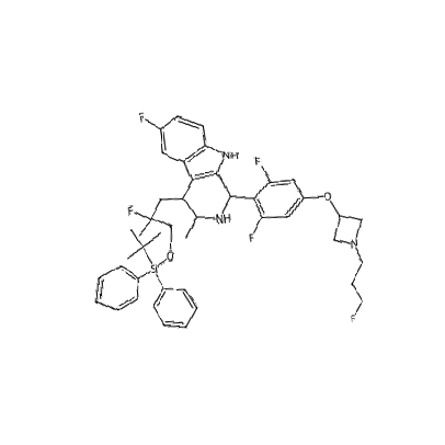 CC1NC(c2c(F)cc(OC3CN(CCCF)C3)cc2F)c2[nH]c3ccc(F)cc3c2C1CC(C)(F)CO[Si](c1ccccc1)(c1ccccc1)C(C)(C)C